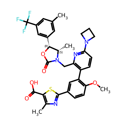 COc1ccc(-c2nc(C)c(C(=O)O)s2)cc1-c1ccc(N2CCC2)nc1CN1C(=O)O[C@H](c2cc(C)cc(C(F)(F)F)c2)[C@@H]1C